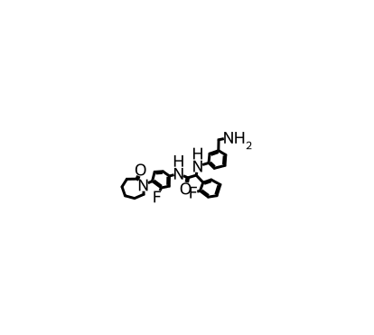 NCc1cccc(NC(C(=O)Nc2ccc(N3CCCCCC3=O)c(F)c2)c2ccccc2F)c1